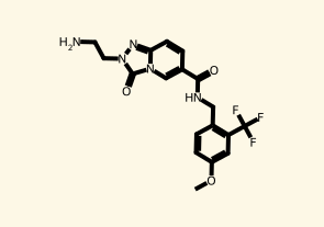 COc1ccc(CNC(=O)c2ccc3nn(CCN)c(=O)n3c2)c(C(F)(F)F)c1